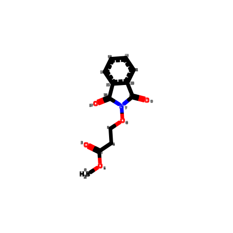 BOC(=O)CCON1C(=O)c2ccccc2C1=O